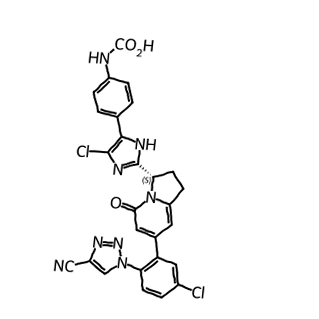 N#Cc1cn(-c2ccc(Cl)cc2-c2cc3n(c(=O)c2)[C@H](c2nc(Cl)c(-c4ccc(NC(=O)O)cc4)[nH]2)CC3)nn1